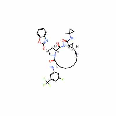 CC1(NC(=O)[C@@]23C[C@H]2/C=C\CCCCC[C@H](Nc2cc(F)cc(C(F)(F)F)c2)C(=O)N2C[C@H](Oc4nc5ccccc5o4)C[C@H]2C(=O)N3)CC1